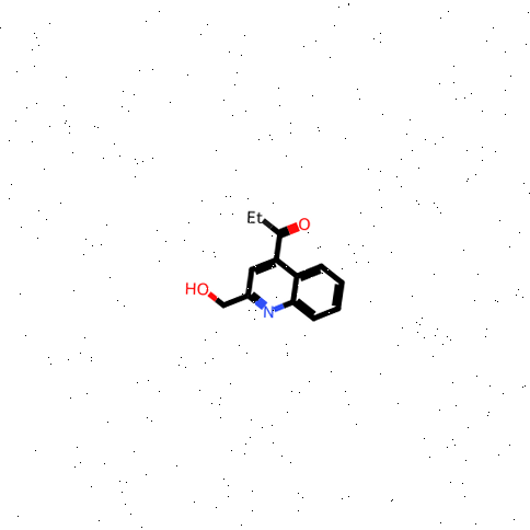 CCC(=O)c1cc(CO)nc2ccccc12